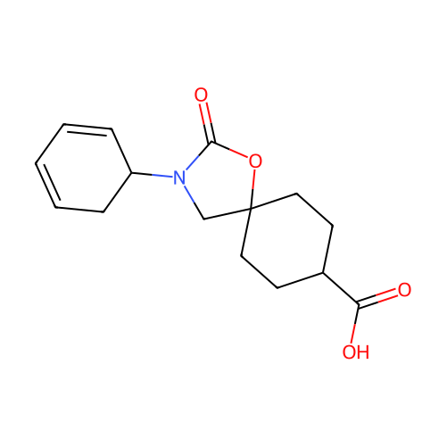 O=C(O)C1CCC2(CC1)CN(C1C=CC=CC1)C(=O)O2